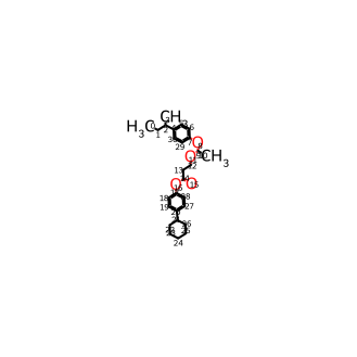 CCC(C)c1ccc(OC(C)OCCC(=O)Oc2ccc(C3CCCCC3)cc2)cc1